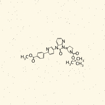 COC(=O)c1ccc(-c2ccc(-n3c(=O)n([C@@H]4CCN(C(=O)OC(C)(C)C)C4)c4ncccc43)cn2)cc1